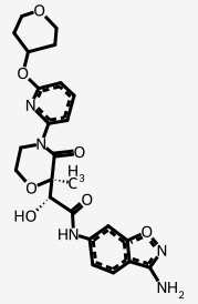 C[C@]1([C@@H](O)C(=O)Nc2ccc3c(N)noc3c2)OCCN(c2cccc(OC3CCOCC3)n2)C1=O